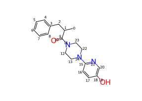 CC(Cc1ccccc1)C(=O)N1CCN(c2ccc(O)cn2)CC1